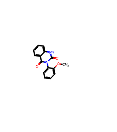 COc1ccccc1-n1c(=O)[nH]c2ccccc2c1=O